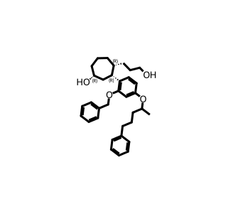 CC(CCCc1ccccc1)Oc1ccc([C@@H]2C[C@H](O)CCC[C@@H]2CCCO)c(OCc2ccccc2)c1